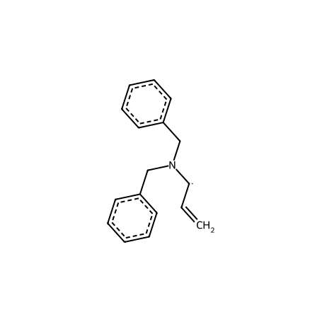 C=C[CH]N(Cc1ccccc1)Cc1ccccc1